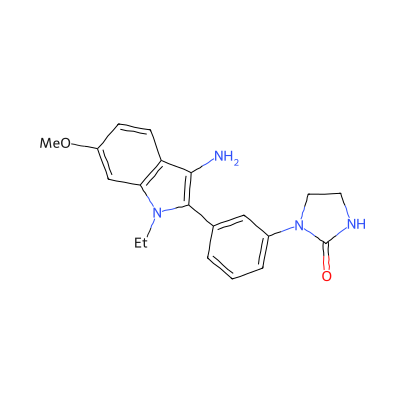 CCn1c(-c2cccc(N3CCNC3=O)c2)c(N)c2ccc(OC)cc21